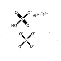 O=S(=O)([O-])O.[Al+3].[Fe+2].[O-][Si]([O-])([O-])[O-]